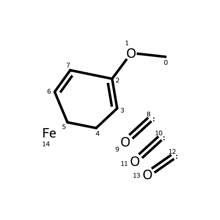 COC1=CCCC=C1.[C]=O.[C]=O.[C]=O.[Fe]